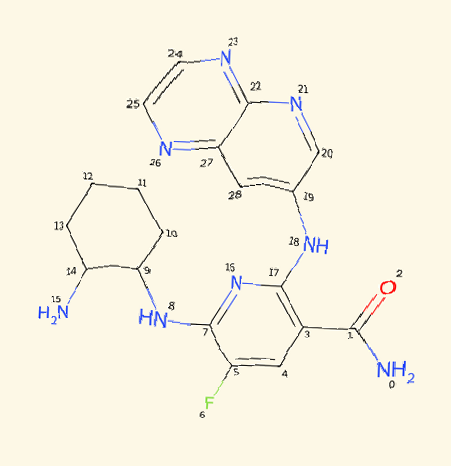 NC(=O)c1cc(F)c(NC2CCCCC2N)nc1Nc1cnc2nccnc2c1